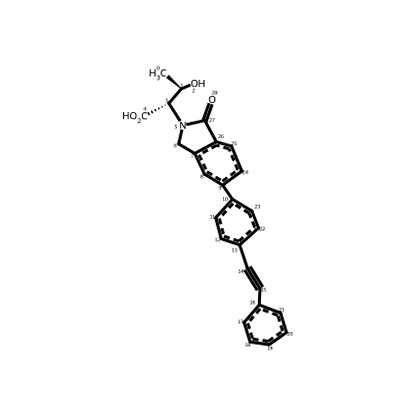 C[C@@H](O)[C@@H](C(=O)O)N1Cc2cc(-c3ccc(C#Cc4ccccc4)cc3)ccc2C1=O